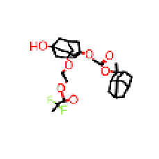 CC(F)(F)C(=O)OCCOC12CC3CC(O)(C1)CC(OCC(=O)OC1(C)C4CC5CC(C4)CC1C5)(C3)C2